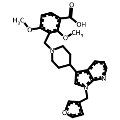 COc1ccc(C(=O)O)c(OC)c1CN1CCC(c2cn(Cc3ccoc3)c3ncccc23)CC1